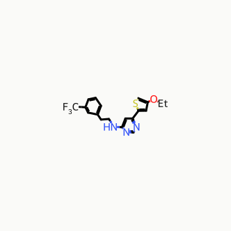 CCOc1csc(-c2cc(NCCc3cccc(C(F)(F)F)c3)ncn2)c1